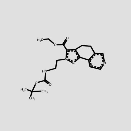 CCOC(=O)c1c2c(nn1CCNC(=O)OC(C)(C)C)-c1ccncc1CC2